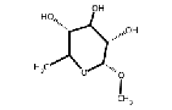 CO[C@@H]1OC(C)[C@H](O)C(O)[C@@H]1O